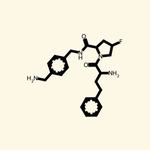 NCc1ccc(CNC(=O)C2CC(F)CN2C(=O)C(N)CCc2ccccc2)cc1